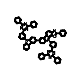 c1ccc(-c2nc(-c3ccccc3)nc(-c3cccc(-n4c5ccccc5c5cc(-c6ccc7c(c6)c6ccc8nc(-c9ccccc9)oc8c6n7-c6cccc(-c7nc(-c8ccccc8)nc(-c8ccccc8)n7)c6)ccc54)c3)n2)cc1